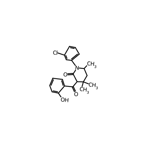 CC1CC(C)(C)C(C(=O)c2ccccc2O)C(=O)N1c1cccc(Cl)c1